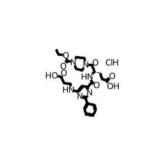 CCOC(=O)N1CCN(C(=O)[C@H](CCC(=O)O)NC(=O)c2cc(NCCC(=O)O)nc(-c3ccccc3)n2)CC1.Cl